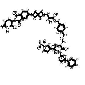 CS(=O)(=O)n1ccc(C(=O)N[C@@H](COCc2ccc(CNC(=O)CCN3CC4(C3)CN(c3ccc5c(c3)C(=O)N(C3CCC(=O)NC3=O)C5=O)C4)cc2)C(=O)Nc2nc(-c3ccccc3)cs2)c1